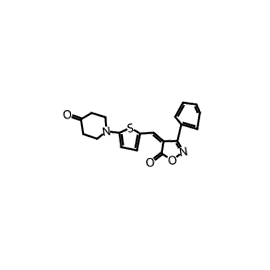 O=C1CCN(c2ccc(C=C3C(=O)ON=C3c3ccccc3)s2)CC1